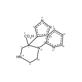 O=C(O)C1(c2cnno2)CNCCN1c1ccccn1